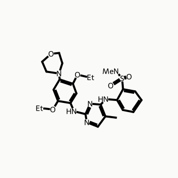 CCOc1cc(N2CCOCC2)c(OCC)cc1Nc1ncc(C)c(Nc2ccccc2S(=O)(=O)NC)n1